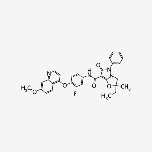 CCC1(C)Cn2c(c(C(=O)Nc3ccc(Oc4ccnc5cc(OC)ccc45)c(F)c3)c(=O)n2-c2ccccc2)O1